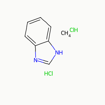 C.Cl.Cl.c1ccc2[nH]cnc2c1